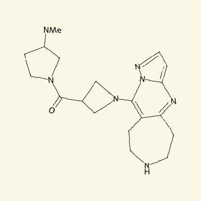 CNC1CCN(C(=O)C2CN(c3c4c(nc5ccnn35)CCNCC4)C2)C1